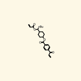 C=CC(=O)OC(CCCC)C1CCC(OC(=O)c2ccc(C(=O)C=C)cc2)CC1